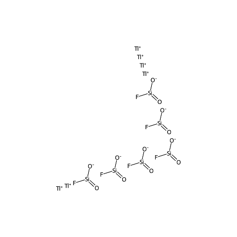 O=[Si]([O-])F.O=[Si]([O-])F.O=[Si]([O-])F.O=[Si]([O-])F.O=[Si]([O-])F.O=[Si]([O-])F.[Tl+].[Tl+].[Tl+].[Tl+].[Tl+].[Tl+]